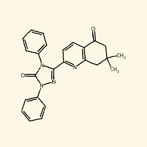 CC1(C)CC(=O)c2ccc(-c3nn(-c4ccccc4)c(=O)n3-c3ccccc3)nc2C1